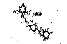 COc1cccc(OC)c1OCCNCC1CCN(c2nc3ccccc3s2)CC1.Cl.Cl